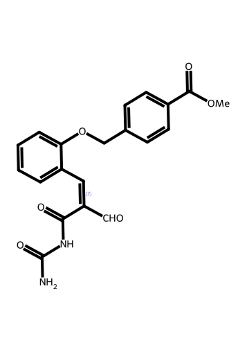 COC(=O)c1ccc(COc2ccccc2/C=C(/C=O)C(=O)NC(N)=O)cc1